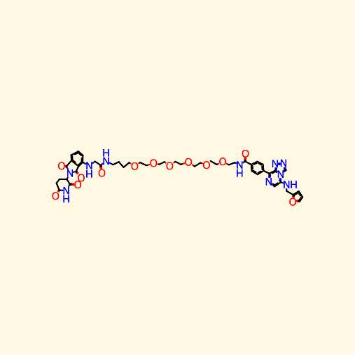 O=C(CNc1cccc2c1C(=O)N(C1CCC(=O)NC1=O)C2=O)NCCCCOCCOCCOCCOCCOCCOCCNC(=O)c1ccc(-c2ncc(NCc3ccco3)n3cnnc23)cc1